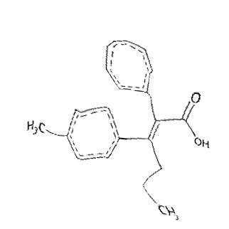 CCCC(=C(C(=O)O)c1ccccc1)c1ccc(C)cc1